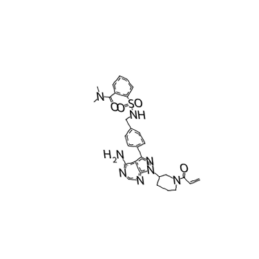 C=CC(=O)N1CCCC(n2nc(-c3ccc(CNS(=O)(=O)c4ccccc4C(=O)N(C)C)cc3)c3c(N)ncnc32)C1